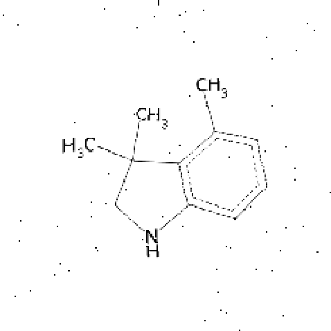 Cc1cccc2c1C(C)(C)CN2